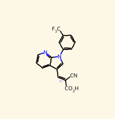 N#C/C(=C\c1cn(-c2cccc(C(F)(F)F)c2)c2ncccc12)C(=O)O